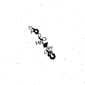 O=C(COc1ccc(Cl)c(F)c1)NC12CC(NC(=O)c3cc4ccccn4n3)(C1)C2